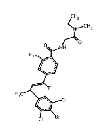 CN(CC(F)(F)F)C(=O)CNC(=O)c1ccc(C(F)=CC(c2cc(Cl)c(Br)c(Cl)c2)C(F)(F)F)cc1C(F)(F)F